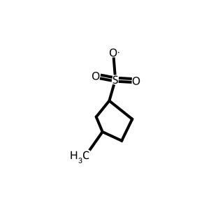 CC1CCC(S([O])(=O)=O)C1